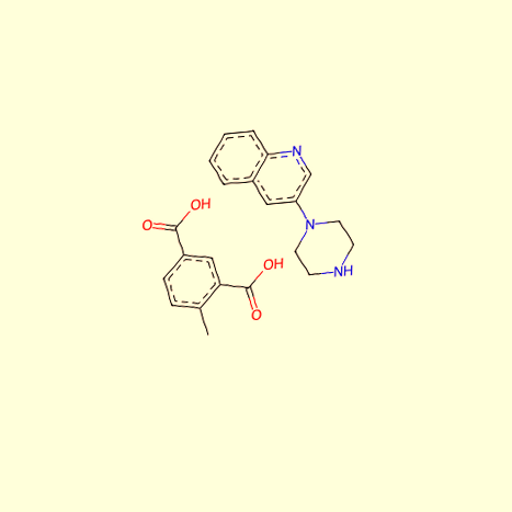 Cc1ccc(C(=O)O)cc1C(=O)O.c1ccc2ncc(N3CCNCC3)cc2c1